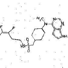 CN(c1ncnc2[nH]ccc12)C1CCC(CS(=O)(=O)NCCC(F)=C(F)F)CC1